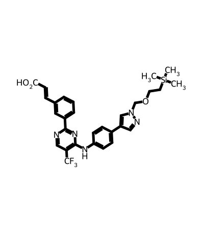 C[Si](C)(C)CCOCn1cc(-c2ccc(Nc3nc(-c4cccc(C=CC(=O)O)c4)ncc3C(F)(F)F)cc2)cn1